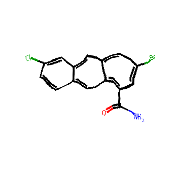 NC(=O)c1cc(Br)cc2cc3cc(Cl)ccc3cc12